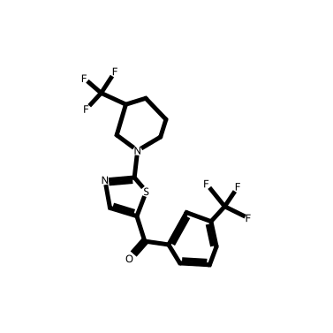 O=C(c1cccc(C(F)(F)F)c1)c1cnc(N2CCCC(C(F)(F)F)C2)s1